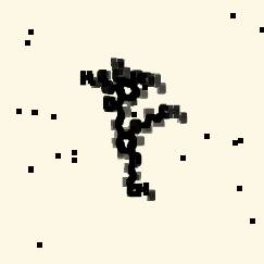 CCCCOc1ccc(/C=C/C(=O)c2ccc(OC)c(C)c2OC)c(OCCCC)c1